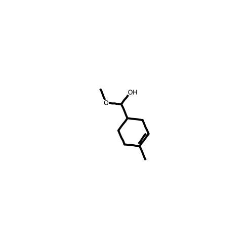 COC(O)C1CC=C(C)CC1